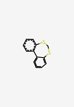 C1=C=C2C(=CC=1)SCSc1ccccc12